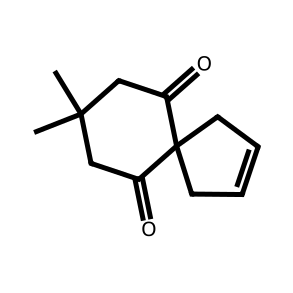 CC1(C)CC(=O)C2(CC=CC2)C(=O)C1